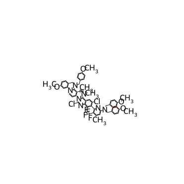 COc1ccc(CN(Cc2ccc(OC)cc2)c2cc(C)c(C(F)(F)F)c(-c3c(Cl)cc4c(N(C)[C@H](C)c5cccnc5N(Cc5ccc(OC)cc5)Cc5ccc(OC)cc5)nc(Cl)nc4c3F)n2)cc1